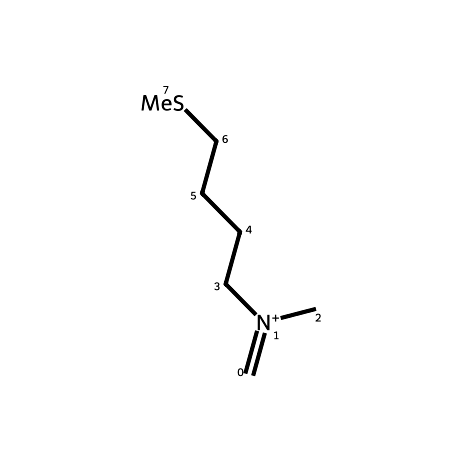 C=[N+](C)CCCCSC